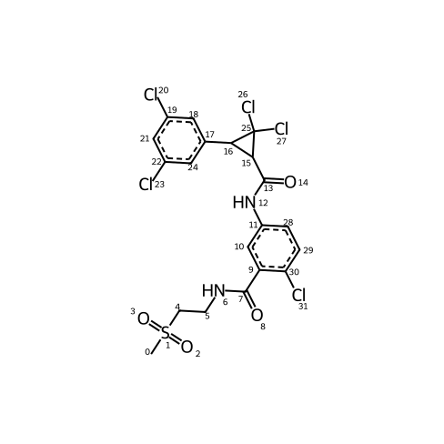 CS(=O)(=O)CCNC(=O)c1cc(NC(=O)C2C(c3cc(Cl)cc(Cl)c3)C2(Cl)Cl)ccc1Cl